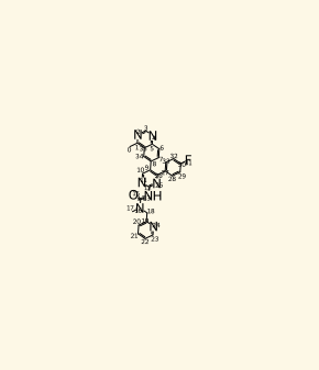 Cc1ncnc2ccc(-c3cnc(NC(=O)N(C)Cc4ccccn4)nc3-c3ccc(F)cc3)cc12